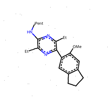 CCCC(C)Nc1nc(CC)c(-c2cc3c(cc2OC)CCC3)nc1CC